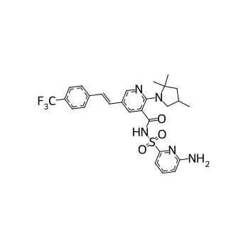 CC1CN(c2ncc(C=Cc3ccc(C(F)(F)F)cc3)cc2C(=O)NS(=O)(=O)c2cccc(N)n2)C(C)(C)C1